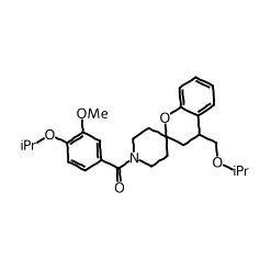 COc1cc(C(=O)N2CCC3(CC2)CC(COC(C)C)c2ccccc2O3)ccc1OC(C)C